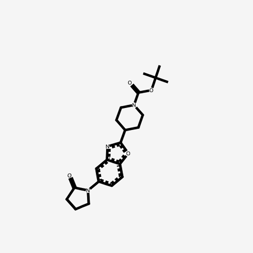 CC(C)(C)OC(=O)N1CCC(c2nc3cc(N4CCCC4=O)ccc3o2)CC1